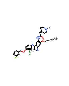 CCN1CCC(=CC(=O)Nc2cc3c(Nc4ccc(OCc5cccc(F)c5)c(Cl)c4)c(C#N)cnc3cc2OCCOC)CC1